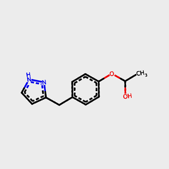 CC(O)Oc1ccc(Cc2cc[nH]n2)cc1